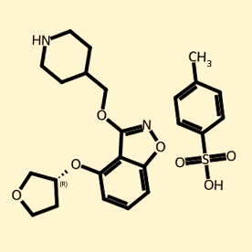 Cc1ccc(S(=O)(=O)O)cc1.c1cc(O[C@@H]2CCOC2)c2c(OCC3CCNCC3)noc2c1